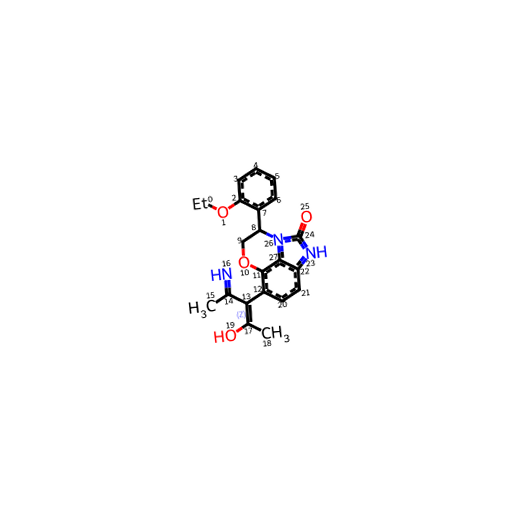 CCOc1ccccc1C1COc2c(/C(C(C)=N)=C(\C)O)ccc3[nH]c(=O)n1c23